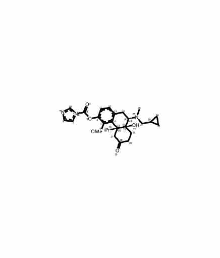 COc1c(OC(=O)n2ccnc2)ccc2c1[C@@]1(C(C)C)CC(=O)CC[C@@]1(O)[C@H](N(C)CC1CC1)C2